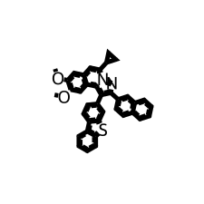 COc1cc2cc(C3CC3)n3nc(-c4ccc5ccccc5c4)c(-c4ccc5c(c4)sc4ccccc45)c3c2cc1OC